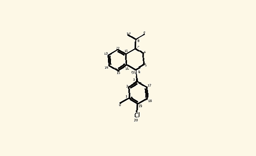 Cc1cc([C@@H]2CCC(C(C)C)c3ccccc32)ccc1Cl